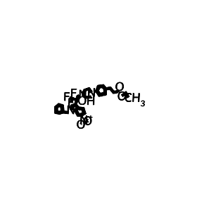 CCOC(=O)CCc1ccc(N2CCN(CC(O)(c3cn(Cc4ccccc4)c4cc([N+](=O)[O-])ccc34)C(F)(F)F)CC2)cc1